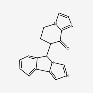 O=C1c2nccn2CCC1C1c2ccccc2-c2cncn21